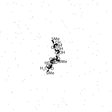 COC1OC(COC2OC(COC(=O)[C@H](CCCSC)[C@@H](C)O)C(O)C2O)C(OC2O[C@H](COC(=O)[C@H](CCSC)[C@@H](C)O)C(O)C2O)C1O